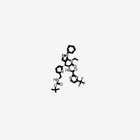 CCN1C(=O)[C@@H](NC(=O)c2nccc(C(F)(F)F)n2)[C@H](c2cccc(CNC(=O)OC(C)(C)C)n2)c2cnn(-c3ccccc3)c21